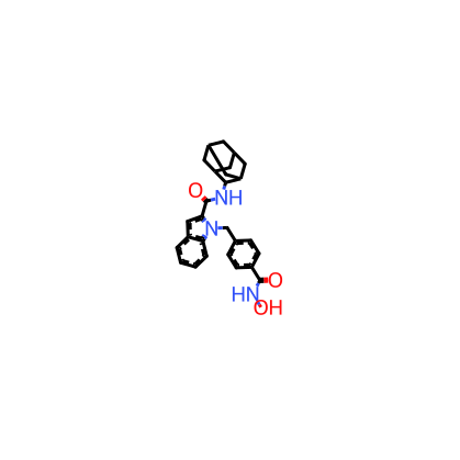 O=C(NO)c1ccc(Cn2c(C(=O)NC3C4CC5CC(C4)CC3C5)cc3ccccc32)cc1